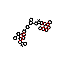 CC1(C)c2ccccc2-c2c(-c3cccc(N(c4ccc(-c5ccc(-c6cc(-c7ccc8c(c7)C(C)(C)c7cccc(-c9ccccc9N(c9ccccc9-c9ccccc9)c9cccc(-c%10ccccc%10)c9-c9ccccc9-c9ccccc9)c7-8)c7ccccc7c6)cc5)cc4)c4cccc(-c5ccccc5)c4-c4ccccc4-c4ccccc4)c3)cccc21